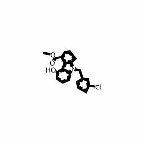 COC(=O)c1cccc2c1c1c(O)cccc1n2Cc1cccc(Cl)c1